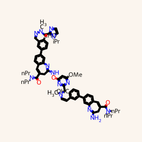 CCCN(CCC)C(=O)C1=Cc2ccc(-c3ccc(C=O)c(/C=C\N(C)Cc4nc(OC)cc(ONC5=Nc6cc(-c7ccc(C=O)c(/C=N\N(C)Cc8nccn8C(C)C)c7)ccc6C=C(C(=O)N(CCC)CCC)C5)n4)c3)cc2N=C(N)C1